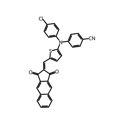 N#Cc1ccc(N(c2ccc(Cl)cc2)c2ccc(C=C3C(=O)c4cc5ccccc5cc4C3=O)s2)cc1